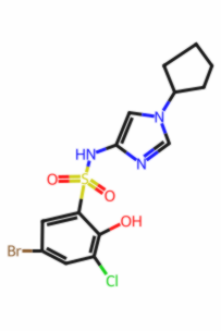 O=S(=O)(Nc1cn(C2CCCC2)cn1)c1cc(Br)cc(Cl)c1O